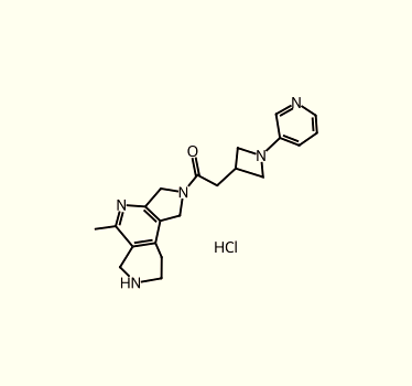 Cc1nc2c(c3c1CNCC3)CN(C(=O)CC1CN(c3cccnc3)C1)C2.Cl